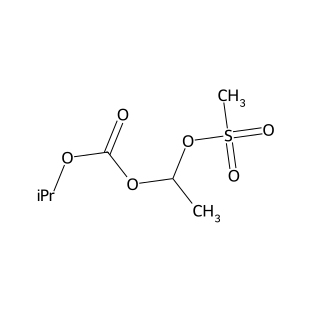 CC(C)OC(=O)OC(C)OS(C)(=O)=O